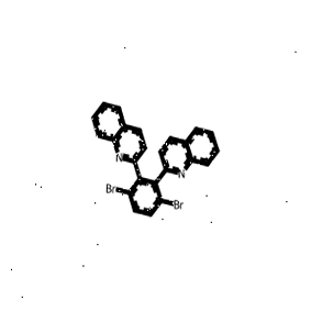 Brc1ccc(Br)c(-c2ccc3ccccc3n2)c1-c1ccc2ccccc2n1